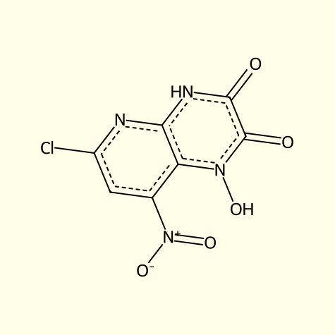 O=c1[nH]c2nc(Cl)cc([N+](=O)[O-])c2n(O)c1=O